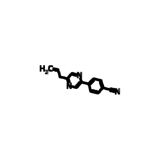 C=CCc1cnc(-c2ccc(C#N)cc2)cn1